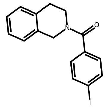 O=C(c1ccc(I)cc1)N1CCc2ccccc2C1